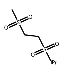 CC(C)S(=O)(=O)CCS(C)(=O)=O